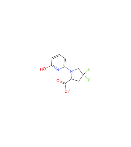 O=C(O)C1CC(F)(F)CN1c1cccc(O)n1